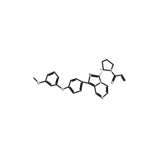 C=CC(=O)N1CCC[C@H]1c1nc(-c2ccc(Oc3cccc(OC)c3)cc2)c2cnccn12